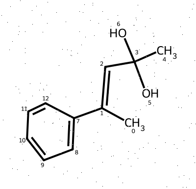 CC(=CC(C)(O)O)c1ccccc1